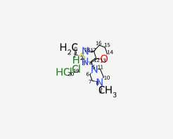 C=CS1=NC(N2CCN(C)CC2)=C2OCCCC2=N1.Cl.Cl